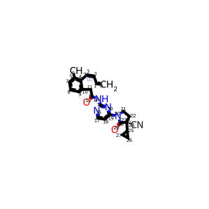 C=C/C=C\c1c(C)cccc1CC(=O)Nc1nccc(N2CC[C@@](C#N)(C3CC3)C2=O)n1